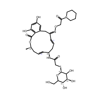 C[C@@H]1C/C=C/[C@H](NC(=O)CS[C@@H]2OC(CO)[C@@H](O)[C@H](O)C2O)C/C=C/C(=NOCC(=O)N2CCCCC2)Cc2cc(O)cc(O)c2C(=O)O1